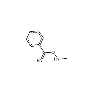 CNOC(=N)c1ccccc1